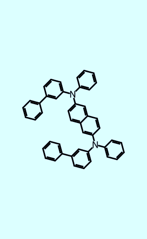 c1ccc(-c2cccc(N(c3ccccc3)c3ccc4cc(N(c5ccccc5)c5cccc(-c6ccccc6)c5)ccc4c3)c2)cc1